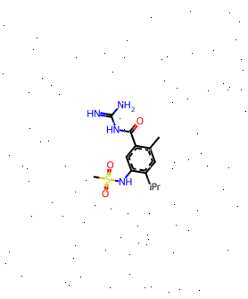 Cc1cc(C(C)C)c(NS(C)(=O)=O)cc1C(=O)NC(=N)N